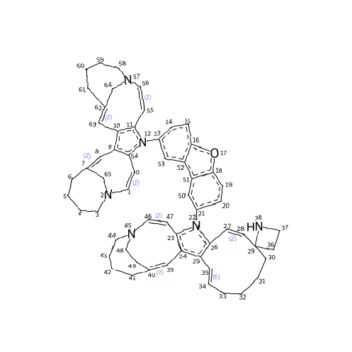 C1=C\N2CCCC/C(=C/c3c4c(n(-c5ccc6oc7ccc(-n8c9c(c%10c8/C=C\C8(CCCC/C=C/%10)CCN8)/C=C8/CCCCN(/C=C\9)CC8)cc7c6c5)c3/1)/C=C\N1CCCC/C(=C/4)C1)C2